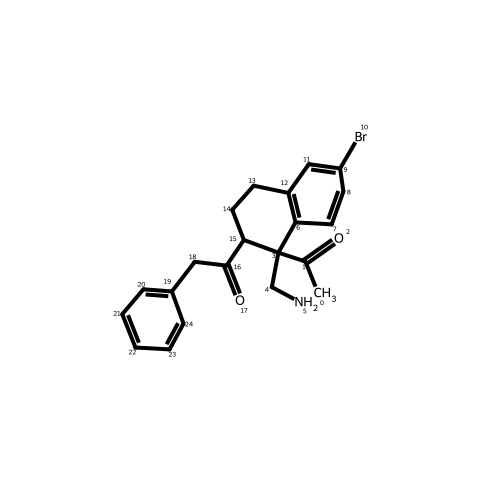 CC(=O)C1(CN)c2ccc(Br)cc2CCC1C(=O)Cc1ccccc1